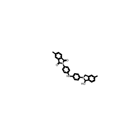 Cc1ccc2c(c1)CN(c1ccc(Nc3ccc(N4C(=O)c5ccc(C)cc5C4=O)cc3)cc1)C2O